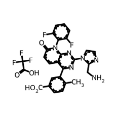 Cc1ccc(C(=O)O)cc1-c1nc(-n2ccnc2CN)nc2c1ccc(=O)n2-c1c(F)cccc1F.O=C(O)C(F)(F)F